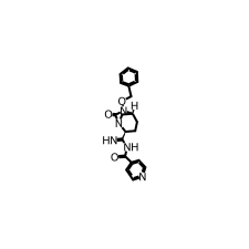 N=C(NC(=O)c1ccncc1)[C@@H]1CC[C@@H]2CN1C(=O)N2OCc1ccccc1